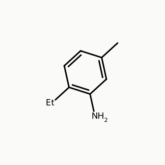 CCc1ccc(C)cc1N